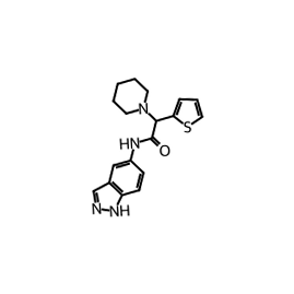 O=C(Nc1ccc2[nH]ncc2c1)C(c1cccs1)N1CCCCC1